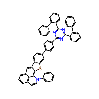 C1=CN(c2ccccc2)c2c3sc4cc(-c5ccc(-c6nc(-c7ccccc7-c7ccccc7)nc(-c7ccccc7-c7ccccc7)n6)cc5)ccc4c3cc3cccc1c23